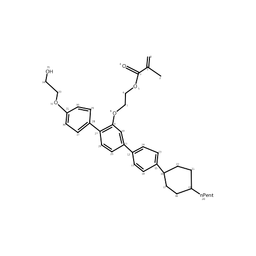 C=C(C)C(=O)OCCOc1cc(-c2ccc(C3CCC(CCCCC)CC3)cc2)ccc1-c1ccc(OCCO)cc1